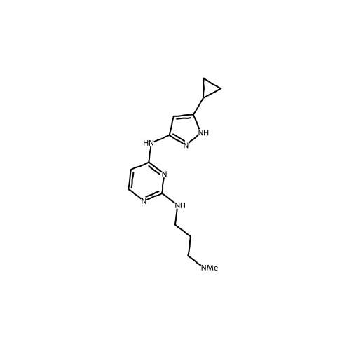 CNCCCNc1nccc(Nc2cc(C3CC3)[nH]n2)n1